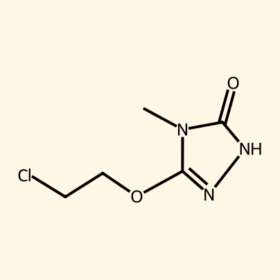 Cn1c(OCCCl)n[nH]c1=O